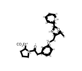 CCOC(=O)C1CCCN1C(=O)Cc1cccc(OCc2nc(-c3ccccc3)oc2C)c1